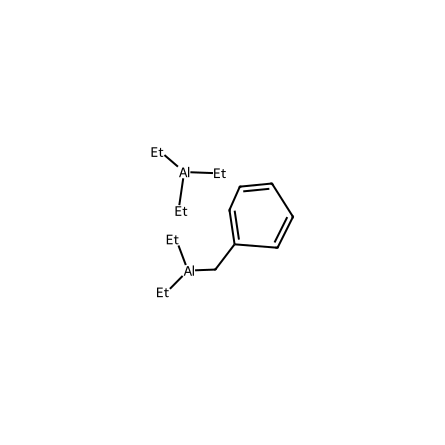 C[CH2][Al]([CH2]C)[CH2]C.C[CH2][Al]([CH2]C)[CH2]c1ccccc1